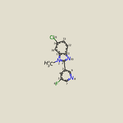 Cn1c(-c2[c]c(F)cnc2)nc2ccc(Cl)cc21